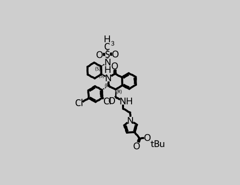 CC(C)(C)OC(=O)c1ccn(CCNC(=O)[C@@H]2c3ccccc3C(=O)N([C@H]3CCCC[C@@H]3NS(C)(=O)=O)[C@H]2c2ccc(Cl)cc2Cl)c1